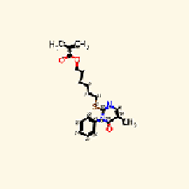 C=C(C)C(=O)OCCCCCCSc1ncc(C)c(=O)n1-c1ccccc1